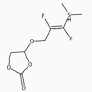 C[SH](C)/C(F)=C(\F)COC1COC(=O)O1